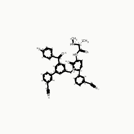 CN[C@H](C)C(=O)Nc1ccc(-c2cccc(C#N)c2)n(Cc2cc(C(=O)c3ccc(F)cc3)cc(-c3cccc(C#N)c3)c2)c1=O